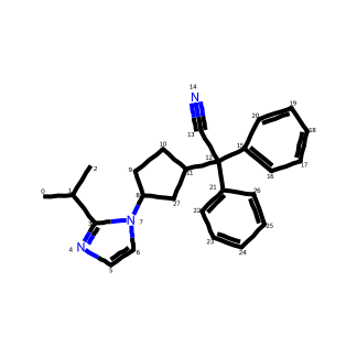 CC(C)c1nccn1C1CCC(C(C#N)(c2ccccc2)c2ccccc2)C1